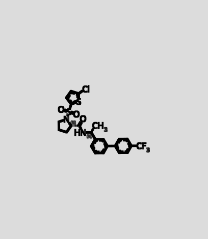 C[C@H](NC(=O)[C@@H]1CCCN1S(=O)(=O)c1ccc(Cl)s1)c1cccc(-c2ccc(C(F)(F)F)cc2)c1